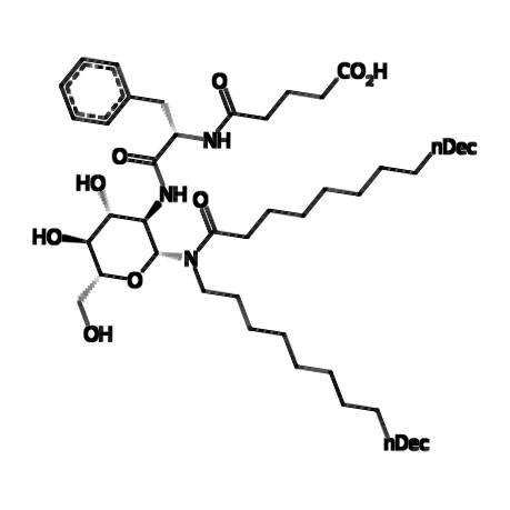 CCCCCCCCCCCCCCCCCCN(C(=O)CCCCCCCCCCCCCCCCC)[C@@H]1O[C@H](CO)[C@@H](O)[C@H](O)[C@H]1NC(=O)[C@H](Cc1ccccc1)NC(=O)CCCC(=O)O